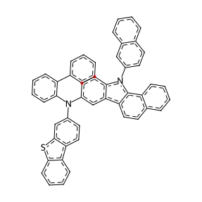 c1ccc(-c2ccccc2N(c2ccc3c(c2)sc2ccccc23)c2ccc3c(c2)c2ccc4ccccc4c2n3-c2ccc3ccccc3c2)cc1